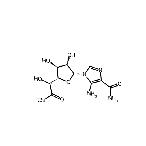 CC(C)(C)C(=O)C(O)[C@H]1O[C@@H](n2cnc(C(N)=O)c2N)[C@H](O)[C@@H]1O